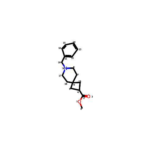 COC(=O)C1CC2(CCN(Cc3ccccc3)CC2)C1